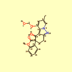 COCOc1cc(C)cn2nc3c(c12)C(=O)C(C(=O)OC)(c1ccccc1)CC3